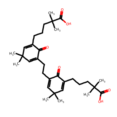 CC1(C)C=C(CCCC(C)(C)C(=O)O)C(=O)C(CCC2=CC(C)(C)C=C(CCCC(C)(C)C(=O)O)C2=O)=C1